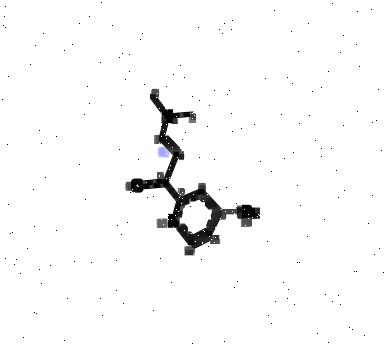 CN(C)/C=C/C(=O)c1cc(C(C)(C)C)c#cn1